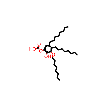 CCCCCCCCOc1c(O)c(OC(=O)O)cc(CCCCCCCC)c1CCCCCCCC